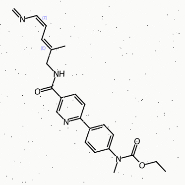 C=N/C=C\C=C(/C)CNC(=O)c1ccc(-c2ccc(N(C)C(=O)OCC)cc2)nc1